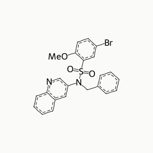 COc1ccc(Br)cc1S(=O)(=O)N(Cc1ccccc1)c1cnc2ccccc2c1